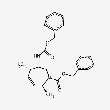 C[C@H]1C=C[C@H](C)N(C(=O)OCc2ccccc2)C[C@H]1NC(=O)OCc1ccccc1